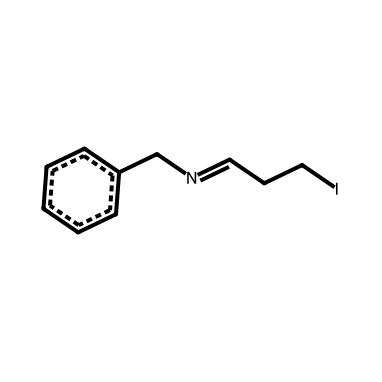 ICCC=NCc1ccccc1